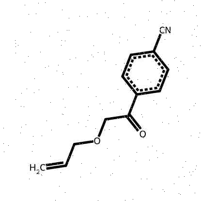 C=CCOCC(=O)c1ccc(C#N)cc1